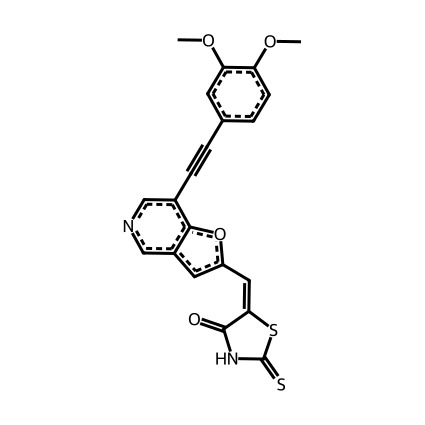 COc1ccc(C#Cc2cncc3cc(C=C4SC(=S)NC4=O)oc23)cc1OC